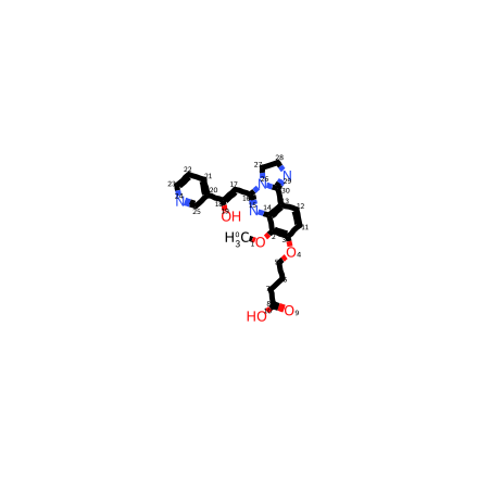 COc1c(OCCCC(=O)O)ccc2c1N=C(/C=C(\O)c1cccnc1)N1CCN=C21